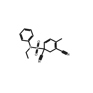 CCN(c1ccccc1)S(=O)(=O)C1(C#N)C=CC(C)=C(C#N)C1